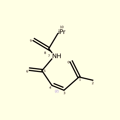 C=C(C)/C=C\C(=C)NC(=C)C(C)C